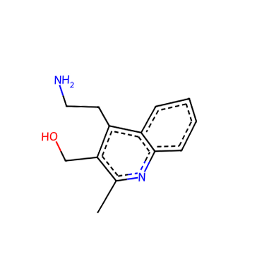 Cc1nc2ccccc2c(CCN)c1CO